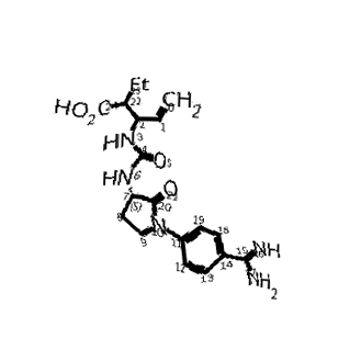 C=CC(NC(=O)N[C@H]1CCN(c2ccc(C(=N)N)cc2)C1=O)C(CC)C(=O)O